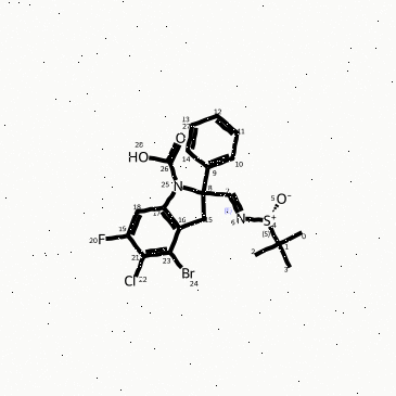 CC(C)(C)[S@@+]([O-])/N=C/C1(c2ccccc2)Cc2c(cc(F)c(Cl)c2Br)N1C(=O)O